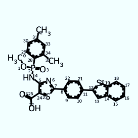 COP(=O)(Nc1nc(-c2ccc(-c3cc4ccccc4s3)cc2)sc1C(=O)O)c1ccc(C)cc1C